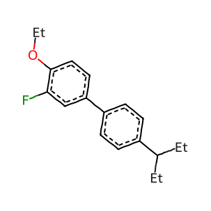 CCOc1ccc(-c2ccc(C(CC)CC)cc2)cc1F